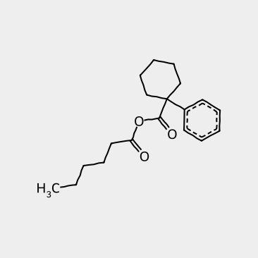 CCCCCC(=O)OC(=O)C1(c2ccccc2)CCCCC1